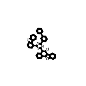 ClC1c2c(oc3ccccc23)-c2ccccc2C1c1nc(-c2cccc(-c3ccccc3)c2)nc(-c2cccc3oc4ccccc4c23)n1